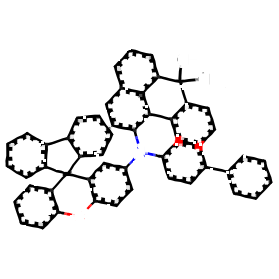 CC1(C)c2ccccc2-c2c(N(c3ccc(-c4ccccc4)cc3)c3ccc4c(c3)C3(c5ccccc5O4)c4ccccc4-c4ccccc43)ccc3cccc1c23